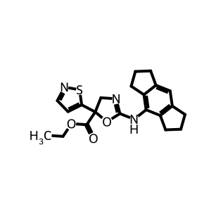 CCOC(=O)C1(c2ccns2)CN=C(Nc2c3c(cc4c2CCC4)CCC3)O1